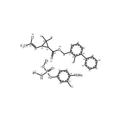 CCOP(=O)(NC(C)C)Oc1ccc(SC)c(C)c1.Cc1c(COC(=O)C2C(/C=C(\Cl)C(F)(F)F)C2(C)C)cccc1-c1ccccc1